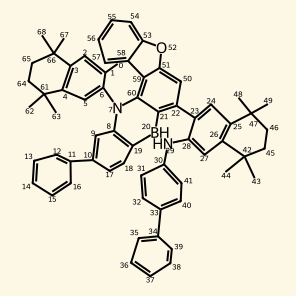 Cc1cc2c(cc1N1c3cc(-c4ccccc4)ccc3Bc3c(-c4cc5c(cc4Nc4ccc(-c6ccccc6)cc4)C(C)(C)CCC5(C)C)cc4oc5ccccc5c4c31)C(C)(C)CCC2(C)C